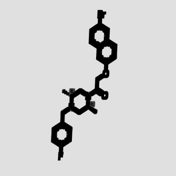 C[C@@H]1CN(C(=O)COc2ccc3cc(Br)ccc3c2)[C@@H](C)CN1Cc1ccc(F)cc1